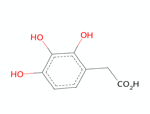 O=C(O)Cc1ccc(O)c(O)c1O